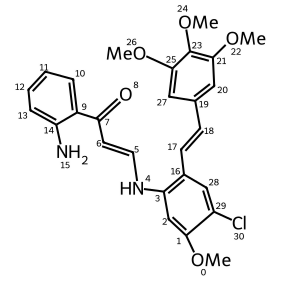 COc1cc(NC=CC(=O)c2ccccc2N)c(C=Cc2cc(OC)c(OC)c(OC)c2)cc1Cl